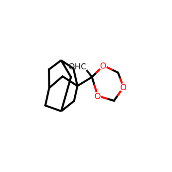 O=CC1(C23CC4CC(CC(C4)C2)C3)OCOCO1